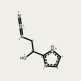 [N-]=[N+]=NCC(O)c1ncc[nH]1